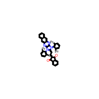 CC(C)c1cccc(C(C)C)c1N1C(=CC=C2C(=O)c3ccccc3C2=O)N(c2c(C(C)C)cccc2C(C)C)c2nc3cc4ccccc4cc3nc21